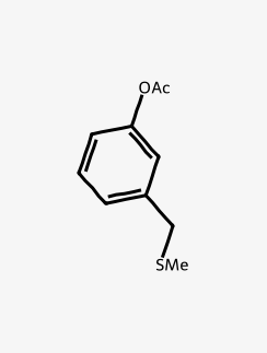 CSCc1cccc(OC(C)=O)c1